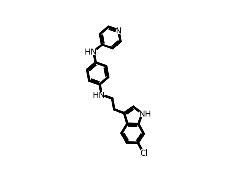 Clc1ccc2c(CCNc3ccc(Nc4ccncc4)cc3)c[nH]c2c1